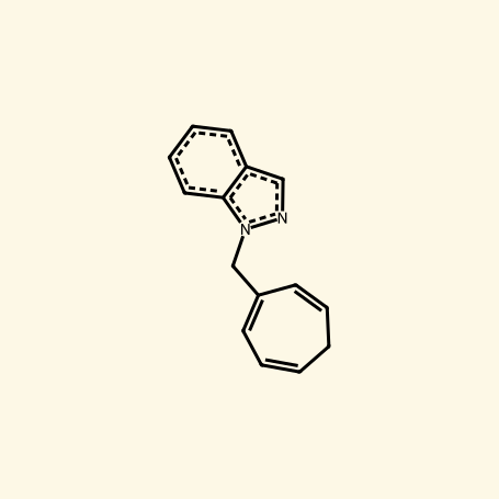 C1=CCC=CC(Cn2ncc3ccccc32)=C1